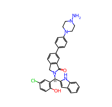 NN1CCN(c2ccc(-c3ccc4c(c3)C(=O)N([C@@H](c3cc5ccccc5[nH]3)c3cc(Cl)ccc3O)C4)cc2)CC1